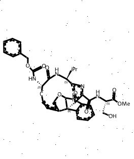 COC(=O)[C@H](CO)NC(=O)c1nc2oc1[C@@]13c4ccccc4NC1Oc1ccc(cc13)C[C@H](NC(=O)OCc1ccccc1)C(=O)N[C@H]2C(C)C